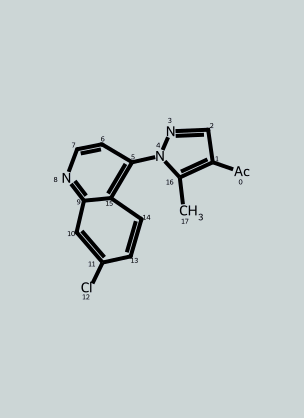 CC(=O)c1cnn(-c2ccnc3cc(Cl)ccc23)c1C